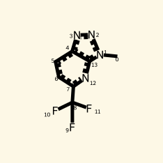 Cn1nnc2ccc(C(F)(F)F)nc21